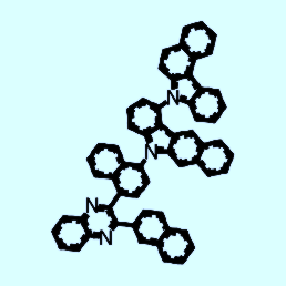 c1ccc2cc(-c3nc4ccccc4nc3-c3ccc(-n4c5cc6ccccc6cc5c5c(-n6c7ccccc7c7c8ccccc8ccc76)cccc54)c4ccccc34)ccc2c1